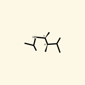 CC(C)N[C@@H](C)[C@H](C)C(C)C